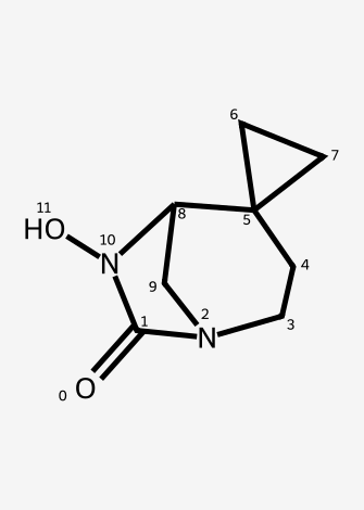 O=C1N2CCC3(CC3)C(C2)N1O